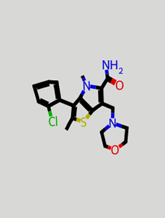 Cc1sc2c(CN3CCOCC3)c(C(N)=O)n(C)c2c1-c1ccccc1Cl